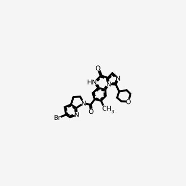 Cc1cc2c(cc1C(=O)N1CCc3cc(Br)cnc31)[nH]c(=O)c1cnc(C3CCOCC3)n12